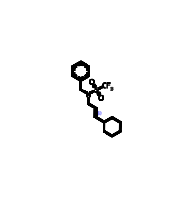 O=S(=O)(N(C/C=C/C1CCCCC1)Cc1ccccc1)C(F)(F)F